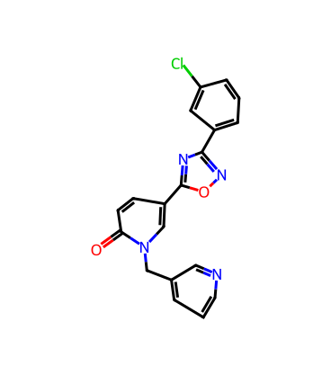 O=c1ccc(-c2nc(-c3cccc(Cl)c3)no2)cn1Cc1cccnc1